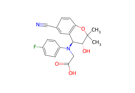 CC1(C)Oc2ccc(C#N)cc2[C@H](N(CC(=O)O)c2ccc(F)cc2)[C@H]1O